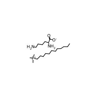 CCCCCCCCCCCC[P+](C)(C)C.NCCCC[C@H](N)C(=O)[O-]